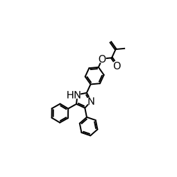 C=C(C)C(=O)Oc1ccc(-c2nc(-c3ccccc3)c(-c3ccccc3)[nH]2)cc1